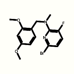 COc1ccc(CN(C)c2nc(Br)ccc2F)c(OC)c1